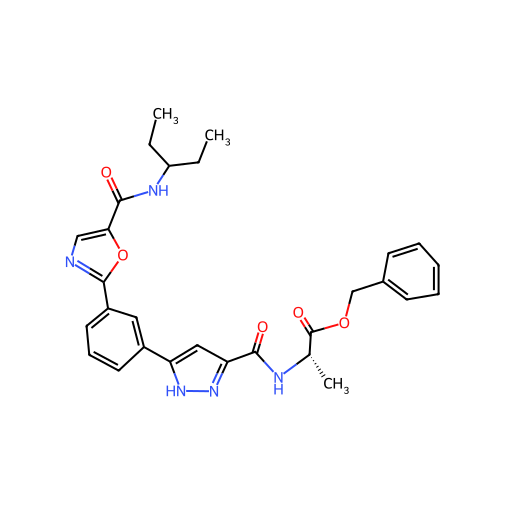 CCC(CC)NC(=O)c1cnc(-c2cccc(-c3cc(C(=O)N[C@@H](C)C(=O)OCc4ccccc4)n[nH]3)c2)o1